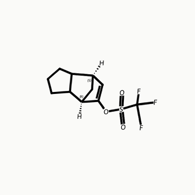 O=S(=O)(OC1=C[C@H]2C[C@@H]1C1CCCC12)C(F)(F)F